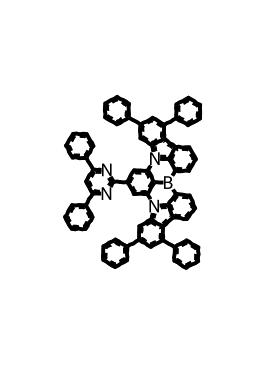 c1ccc(-c2cc(-c3ccccc3)c3c4cccc5c4n(c3c2)-c2cc(-c3nc(-c4ccccc4)cc(-c4ccccc4)n3)cc3c2B5c2cccc4c5c(-c6ccccc6)cc(-c6ccccc6)cc5n-3c24)cc1